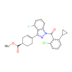 CC(C)(C)OC(=O)[C@H]1CC=C(c2nn(C(=O)c3c(Cl)cccc3C3CC3)c3cccc(F)c23)CC1